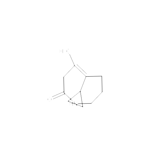 C/C1=C(/C2CC2)CCCNC(=O)C1